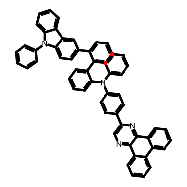 c1ccc(N(c2ccc(-c3cnc4c5ccccc5c5ccccc5c4n3)cc2)c2ccccc2-c2ccccc2-c2ccc3c(c2)c2ccccc2n3-c2ccccc2)cc1